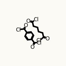 O=C(Cl)CCCCC(=O)Cl.O=C(Cl)c1ccc(C(=O)Cl)cc1